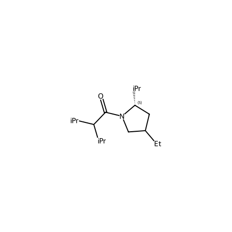 CCC1C[C@@H](C(C)C)N(C(=O)C(C(C)C)C(C)C)C1